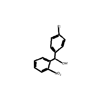 CCc1ccc(C(O)c2ccccc2[N+](=O)[O-])cc1